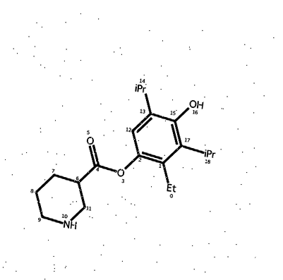 CCc1c(OC(=O)C2CCCNC2)cc(C(C)C)c(O)c1C(C)C